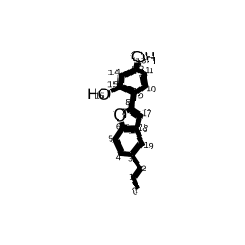 CC=Cc1ccc2oc(-c3ccc(O)cc3O)cc2c1